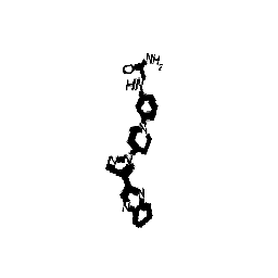 NC(=O)CNc1cccc(N2CCC(n3cc(-c4cnc5ccccc5n4)cn3)CC2)c1